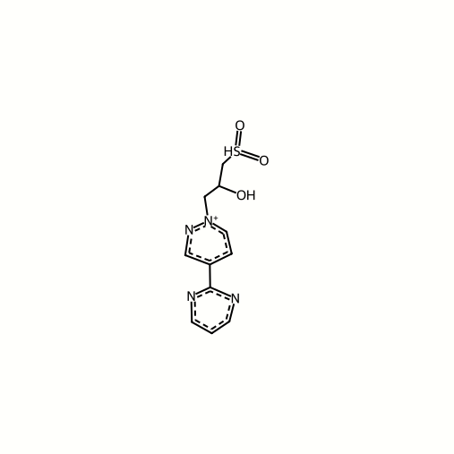 O=[SH](=O)CC(O)C[n+]1ccc(-c2ncccn2)cn1